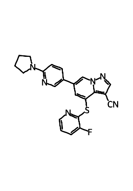 N#Cc1cnn2cc(-c3ccc(N4CCCC4)nc3)cc(Sc3ncccc3F)c12